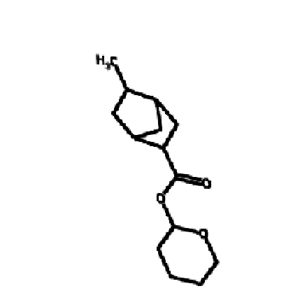 CC1CC2CC1CC2C(=O)OC1CCCCO1